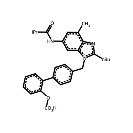 CCCCc1nc2c(C)cc(NC(=O)C(C)C)cc2n1Cc1ccc(-c2ccccc2OC(=O)O)cc1